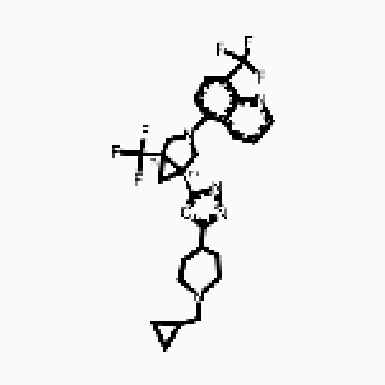 FC(F)(F)c1ccc(N2C[C@]3(c4nnc(C5CCN(CC6CC6)CC5)o4)C[C@]3(C(F)(F)F)C2)c2cccnc12